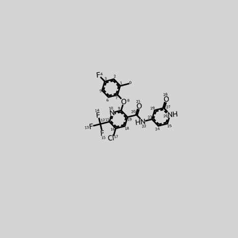 Cc1cc(F)ccc1Oc1nc(C(F)(F)F)c(Cl)cc1C(=O)Nc1cc[nH]c(=O)c1